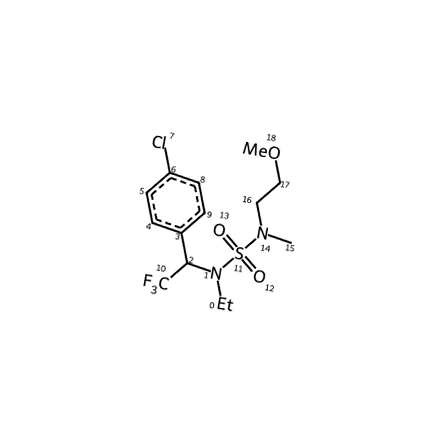 CCN(C(c1ccc(Cl)cc1)C(F)(F)F)S(=O)(=O)N(C)CCOC